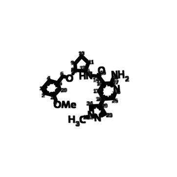 COc1cccc(CO[C@H]2CCC[C@@H]2NC(=O)c2cc(-c3cnn(C)c3)cnc2N)c1